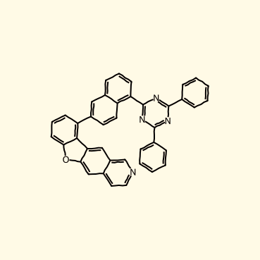 c1ccc(-c2nc(-c3ccccc3)nc(-c3cccc4cc(-c5cccc6oc7cc8ccncc8cc7c56)ccc34)n2)cc1